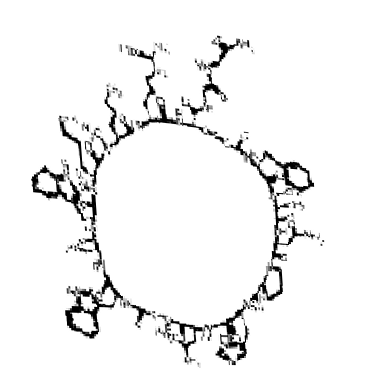 CCCC[C@H]1C(=O)N(C)[C@@H](CCCC)C(=O)N[C@@H](CCCNC(=N)N)C(=O)N[C@H](C(=O)NCC(=O)NCC(N)=O)CSCC(=O)N[C@@H](Cc2ccccc2)C(=O)N(C)[C@@H](C)C(=O)N[C@@H](CC(N)=O)C(=O)N2CCC[C@H]2C(=O)N[C@@H](Cc2cnc[nH]2)C(=O)N[C@@H](CC(C)C)C(=O)N(C)CC(=O)N[C@@H](Cc2c[nH]c3ccccc23)C(=O)N[C@@H](CO)C(=O)N[C@@H](Cc2c[nH]c3ccccc23)C(=O)N1C